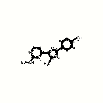 CCNc1nccc(-c2sc(-c3ccc(C(C)(C)C)cc3)nc2C)n1